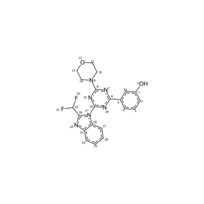 Oc1cccc(-c2nc(N3CCOCC3)nc(-n3c(C(F)F)nc4ccccc43)n2)c1